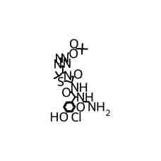 CC(C)(C)C(=O)OCn1nnc(C2N3C(=O)C(NC(=O)C(NC(=O)CN)c4ccc(O)c(Cl)c4)C3SC2(C)C)n1